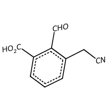 N#CCc1cccc(C(=O)O)c1C=O